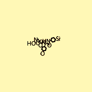 COc1ccc(C(C(=O)Nc2ccc([Si](C)(C)C)cc2)N(C)C(=O)C2(C)C=NC(O)O2)cc1